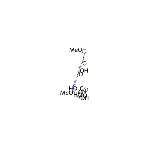 COC1CCCC(CCCCC(=O)C/C=C(\C)C(O)CC(=O)CCC/C=C/C=C/C=C(\C)C(CCCCC(C)C(O)(O)C(=O)C(=O)N2CCCCC2C(=O)O)OC)C1